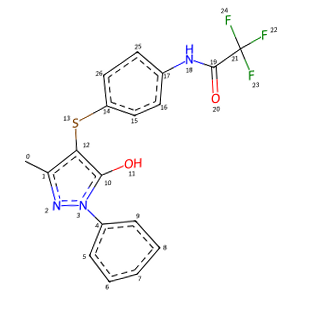 Cc1nn(-c2ccccc2)c(O)c1Sc1ccc(NC(=O)C(F)(F)F)cc1